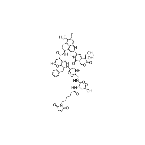 CC[C@@]1(O)C(=O)OCc2c1cc1n(c2=O)Cc2c-1nc1cc(F)c(C)c3c1c2[C@@H](NC(=O)[C@H](CO)NC(=O)[C@H](Cc1ccccc1)NC(=O)CNC(=O)CNC(=O)C(CC(=O)O)NC(=O)CCCCCN1C(=O)C=CC1=O)CC3